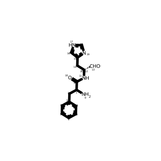 NC(Cc1ccccc1)C(=O)N[C@@H]([C]=O)Cc1c[nH]cn1